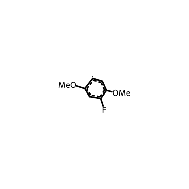 COc1[c]cc(OC)c(F)c1